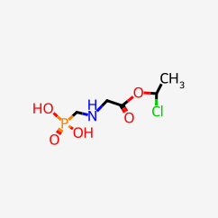 CC(Cl)OC(=O)CNCP(=O)(O)O